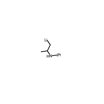 [Li][CH2]C(C)NC(C)C